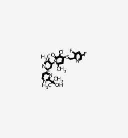 CC1=C(n2c(C)cc(SCc3ncc(F)cc3F)c(Cl)c2=O)C[C@H](c2ccnc(C(C)(C)O)n2)N=C1